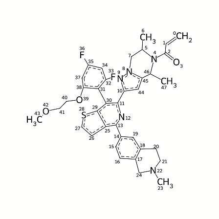 C=CC(=O)N1C(C)Cn2nc(-c3nc(-c4ccc5c(c4)CCN(C)C5)c4ccsc4c3-c3c(F)cc(F)cc3OCCOC)cc2C1C